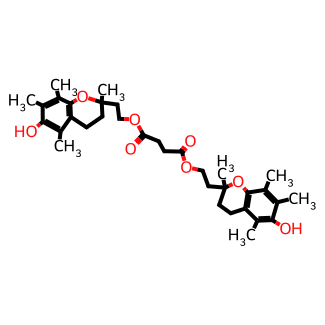 Cc1c(C)c2c(c(C)c1O)CCC(C)(CCOC(=O)CCC(=O)OCCC1(C)CCc3c(C)c(O)c(C)c(C)c3O1)O2